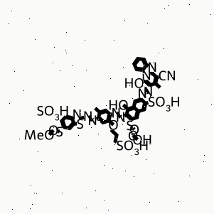 COOSc1cc(S(=O)(=O)O)c2nc(N=Nc3cc(OCCCS(=O)(=O)O)c(N=Nc4c(SOOO)cc5cc(S(=O)(=O)O)c(N=Nc6c(C)c(C#N)c7nc8ccccc8n7c6O)cc5c4O)cc3C)sc2c1